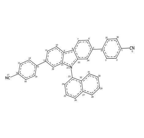 N#Cc1ccc(-c2ccc3c4ccc(-c5ccc(C#N)cc5)cc4n(-c4cccc5ccccc45)c3c2)cc1